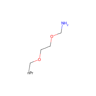 CCCCOCCOCN